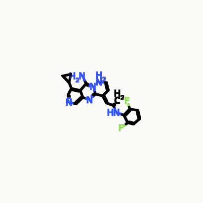 C=C(/C=C(\C=C/N)c1nc(N)c2c(C3CC3)cncc2n1)Nc1c(F)cccc1F